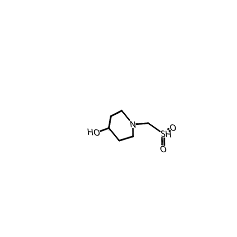 O=[SH](=O)CN1CC[C](O)CC1